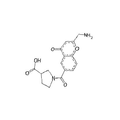 NCc1cc(=O)c2cc(C(=O)N3CCC(C(=O)O)C3)ccc2o1